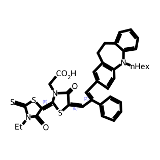 CCCCCCN1c2ccccc2CCc2cc(/C=C(/C=c3/s/c(=C4/SC(=S)N(CC)C4=O)n(CC(=O)O)c3=O)c3ccccc3)ccc21